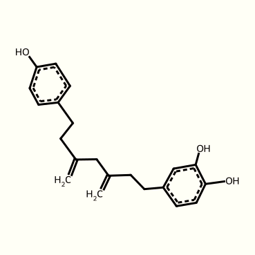 C=C(CCc1ccc(O)cc1)CC(=C)CCc1ccc(O)c(O)c1